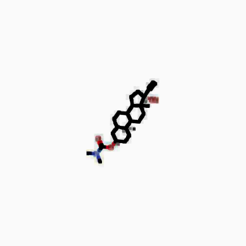 C#C[C@]1(O)CCC2C3CCC4C[C@H](OC(=O)N(C)C)CC[C@]4(C)C3CCC21C